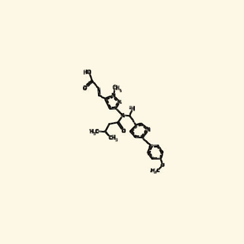 [2H]C(c1ccc(-c2ccc(OC)cc2)nc1)N(C(=O)CC(C)C)c1cc(C=CC(=O)O)n(C)n1